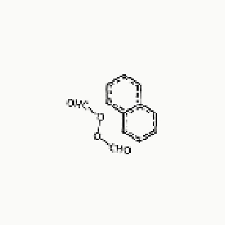 O=COOC=O.c1ccc2ccccc2c1